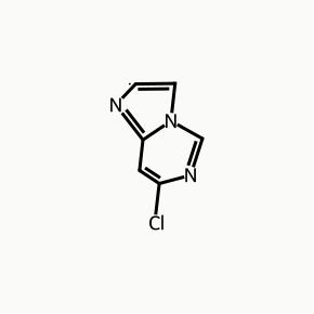 Clc1cc2n[c]cn2cn1